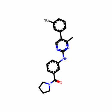 Cc1nc(Nc2cccc(C(=O)N3CCCC3)c2)ncc1-c1cccc(C#N)c1